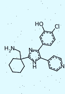 NCC1(c2nc(-c3ccc(Cl)c(O)c3)c(-c3ccncc3)[nH]2)CCCCC1